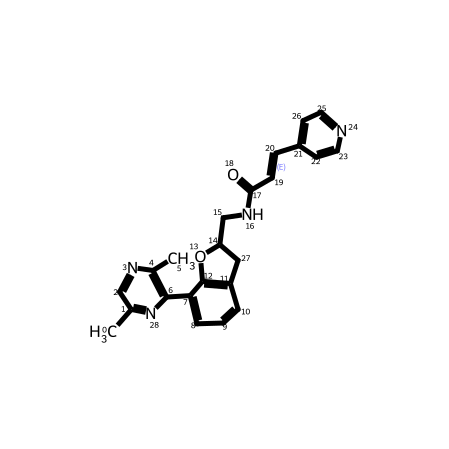 Cc1cnc(C)c(-c2cccc3c2OC(CNC(=O)/C=C/c2ccncc2)C3)n1